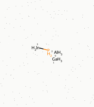 [AlH3].[GaH3].[PH2][InH2]